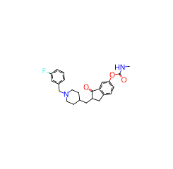 CNC(=O)Oc1ccc2c(c1)C(=O)C(CC1CCN(Cc3cccc(F)c3)CC1)C2